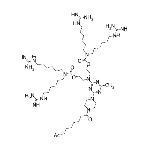 CC(=O)CCCCCCC(=O)N1CCN(c2nc(C)nc(N(CCOC(=O)N(CCCCCCNC(=N)N)CCCCCCNC(=N)N)CCOC(=O)N(CCCCCCNC(=N)N)CCCCCCNC(=N)N)n2)CC1